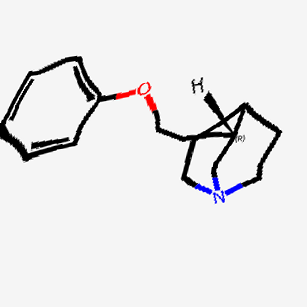 c1ccc(OC[C@H]2CN3CCC2CC3)cc1